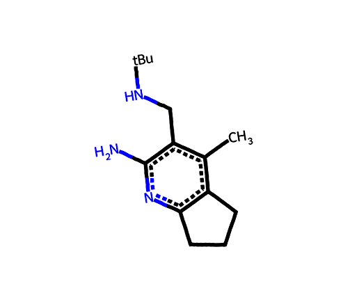 Cc1c(CNC(C)(C)C)c(N)nc2c1CCC2